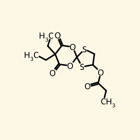 CCC(=O)OC1CSC2(OC(=O)C(CC)(CC)C(=O)O2)S1